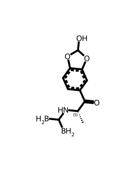 BC(B)N[C@@H](C)C(=O)c1ccc2c(c1)OC(O)O2